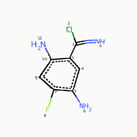 N=C(Cl)c1cc(N)c(F)cc1N